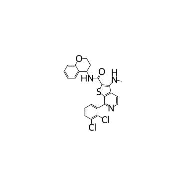 CNc1c(C(=O)NC2CCOc3ccccc32)sc2c(-c3cccc(Cl)c3Cl)nccc12